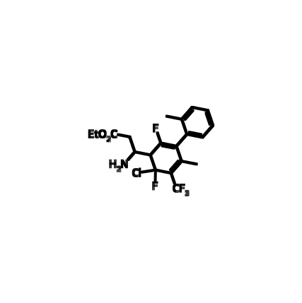 CCOC(=O)CC(N)C1C(F)=C(c2ccccc2C)C(C)=C(C(F)(F)F)C1(F)Cl